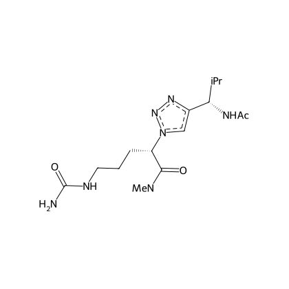 CNC(=O)[C@H](CCCNC(N)=O)n1cc([C@@H](NC(C)=O)C(C)C)nn1